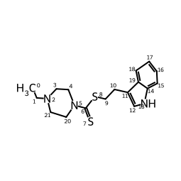 CCN1CCN(C(=S)SCCc2c[nH]c3ccccc23)CC1